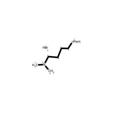 Br.CCCCCCCCCN(C)C